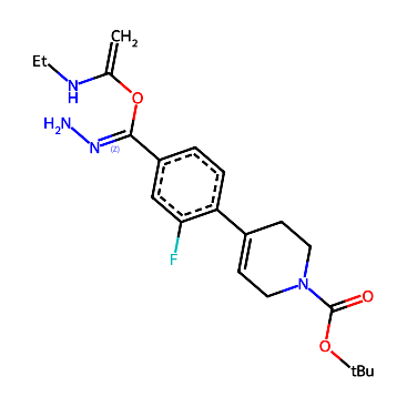 C=C(NCC)O/C(=N\N)c1ccc(C2=CCN(C(=O)OC(C)(C)C)CC2)c(F)c1